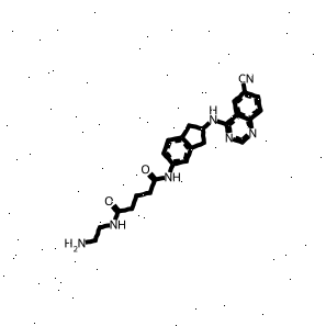 N#Cc1ccc2ncnc(NC3Cc4ccc(NC(=O)CCCC(=O)NCCN)cc4C3)c2c1